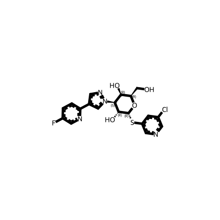 OC[C@H]1O[C@H](Sc2cncc(Cl)c2)[C@H](O)[C@@H](n2cc(-c3ccc(F)cn3)cn2)[C@H]1O